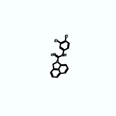 N=C(Nc1ccc(Cl)c(Cl)c1)N1Cc2cccc3cccc1c23